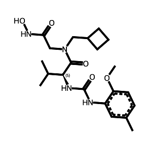 COc1ccc(C)cc1NC(=O)N[C@H](C(=O)N(CC(=O)NO)CC1CCC1)C(C)C